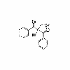 O=C(c1ccccc1)C(Br)(CBr)C(=O)c1ccccc1